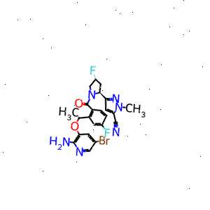 C[C@@H](Oc1cc(Br)cnc1N)c1cc(F)ccc1C(=O)N1C[C@H](F)C[C@H]1c1cc(C#N)n(C)n1